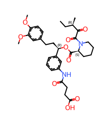 CC[C@@H](C)C(=O)C(=O)N1CCCC[C@H]1C(=O)O[C@H](CCc1ccc(OC)c(OC)c1)c1cccc(NC(=O)CCC(=O)O)c1